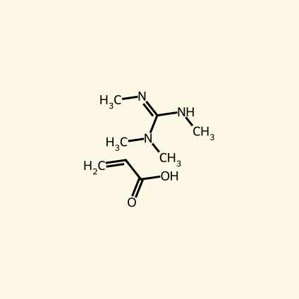 C=CC(=O)O.CN=C(NC)N(C)C